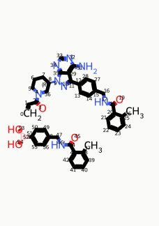 C=CC(=O)N1CCC[C@@H](n2nc(-c3ccc(CNC(=O)c4ccccc4C)cc3)c3c(N)ncnc32)C1.Cc1ccccc1C(=O)NCc1ccc(B(O)O)cc1